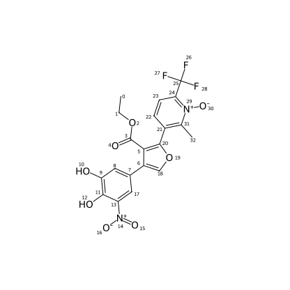 CCOC(=O)c1c(-c2cc(O)c(O)c([N+](=O)[O-])c2)coc1-c1ccc(C(F)(F)F)[n+]([O-])c1C